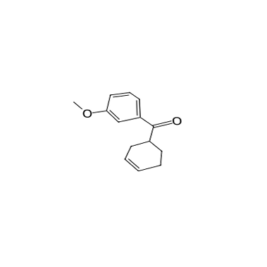 COc1cccc(C(=O)C2CC=CCC2)c1